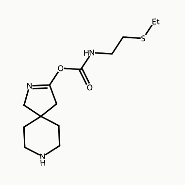 CCSCCNC(=O)OC1=NCC2(CCNCC2)C1